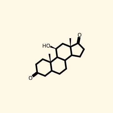 C[C@]12CCC(=O)CC1CCC1C2[C@@H](O)C[C@]2(C)C(=O)CCC12